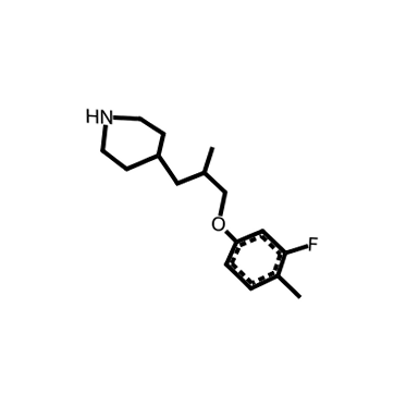 Cc1ccc(OCC(C)CC2CCNCC2)cc1F